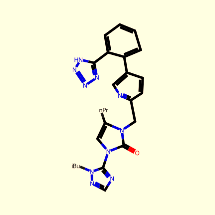 CCCc1cn(-c2ncnn2C(C)CC)c(=O)n1Cc1ccc(-c2ccccc2-c2nnn[nH]2)cn1